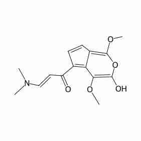 COc1oc(O)c(OC)c2c(C(=O)C=CN(C)C)ccc1-2